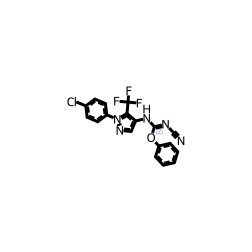 N#C/N=C(/Nc1cnn(-c2ccc(Cl)cc2)c1C(F)(F)F)Oc1ccccc1